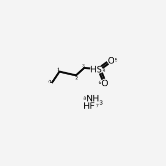 CCCC[SH](=O)=O.F.N